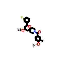 CCOC1CC(c2cccc(F)c2)OC2(CCN(C(=O)c3ccc(OC(C)C)c(C)c3)CC2)C1